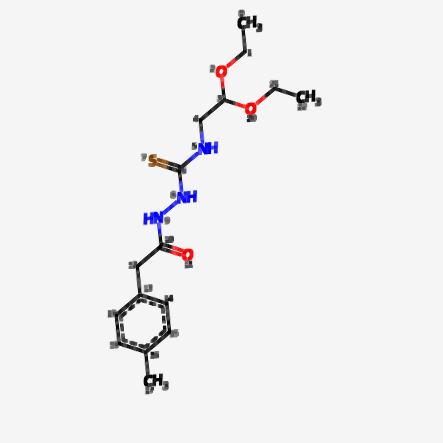 CCOC(CNC(=S)NNC(=O)Cc1ccc(C)cc1)OCC